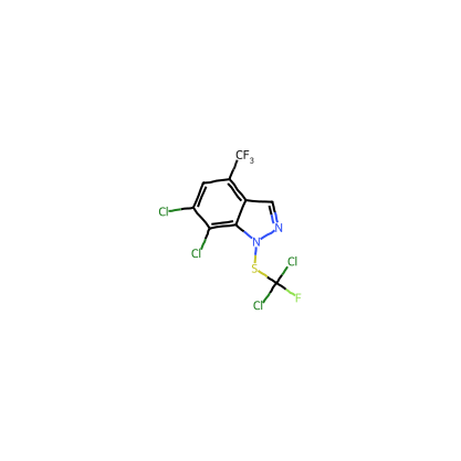 FC(Cl)(Cl)Sn1ncc2c(C(F)(F)F)cc(Cl)c(Cl)c21